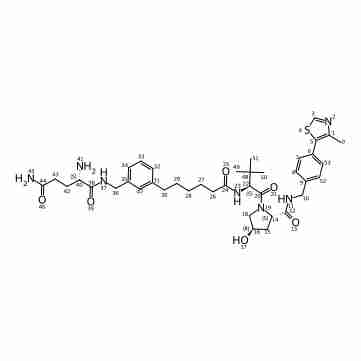 Cc1ncsc1-c1ccc(CNC(=O)[C@@H]2C[C@@H](O)CN2C(=O)[C@@H](NC(=O)CCCCCc2cccc(CNC(=O)[C@@H](N)CCC(N)=O)c2)C(C)(C)C)cc1